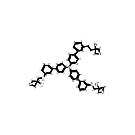 CCC1(CCc2cccc(-c3ccc(N(c4ccc(-c5cccc(OCC6(CC)COC6)c5)cc4)c4ccc(-c5cccc(OCC6(CC)COC6)c5)cc4)cc3)c2)COC1